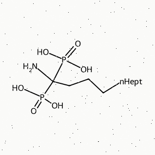 CCCCCCCCCCC(N)(P(=O)(O)O)P(=O)(O)O